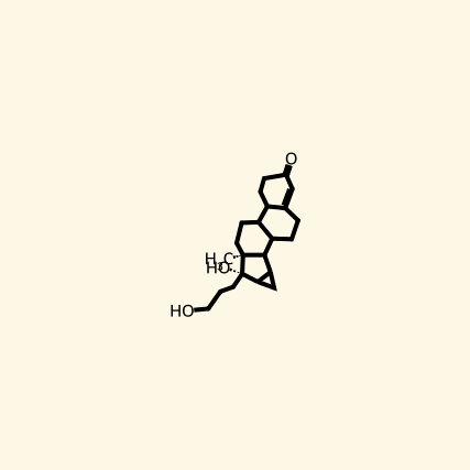 C[C@]12CCC3C4CCC(=O)C=C4CCC3C1C1CC1[C@@]2(O)CCCO